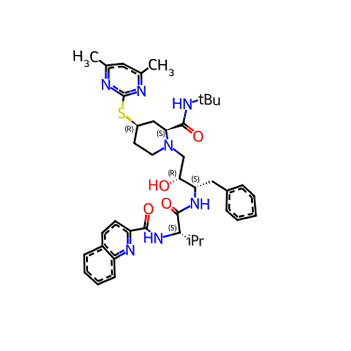 Cc1cc(C)nc(S[C@@H]2CCN(C[C@@H](O)[C@H](Cc3ccccc3)NC(=O)[C@@H](NC(=O)c3ccc4ccccc4n3)C(C)C)[C@H](C(=O)NC(C)(C)C)C2)n1